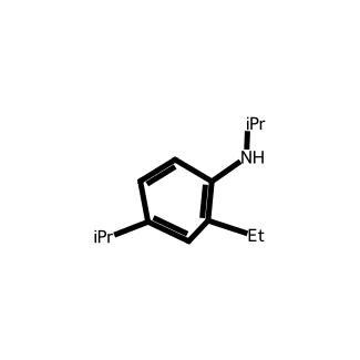 CCc1cc(C(C)C)ccc1NC(C)C